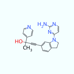 CC(O)(C#Cc1ccc2c(c1)N(c1ccnc(N)n1)CC2)c1ccncc1